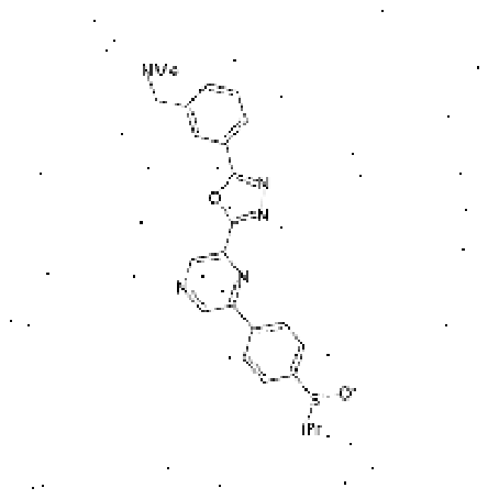 CNCc1cccc(-c2nnc(-c3cncc(-c4ccc([S+]([O-])C(C)C)cc4)n3)o2)c1